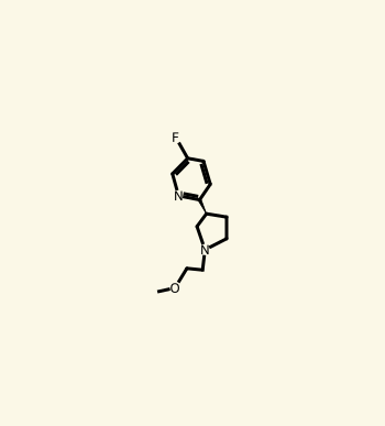 COCCN1CC[C@H](c2ccc(F)cn2)C1